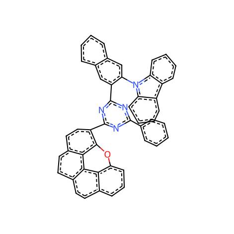 c1ccc(-c2nc(-c3cc4ccccc4cc3-n3c4ccccc4c4ccccc43)nc(-c3ccc4ccc5ccc6cccc7c6c5c4c3O7)n2)cc1